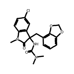 CN(C)C(=O)NC1(Cc2cccc3c2OCO3)C(=O)N(C)c2ccc(Cl)cc21